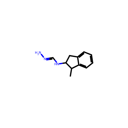 CC1c2ccccc2CC1NC=NN